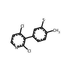 Cc1ccc(-c2c(Cl)ccnc2Cl)cc1[S]